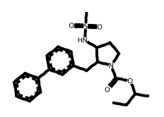 CCC(C)OC(=O)N1CCC(NS(C)(=O)=O)C1Cc1cccc(-c2ccccc2)c1